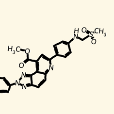 COC(=O)c1cc(-c2ccc(NCS(C)(=O)=O)cc2)nc2ccc3nn(-c4ccccc4)nc3c12